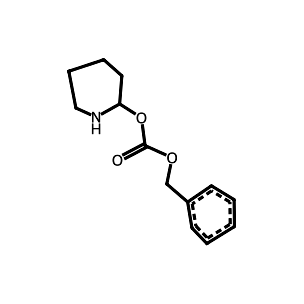 O=C(OCc1ccccc1)OC1CCCCN1